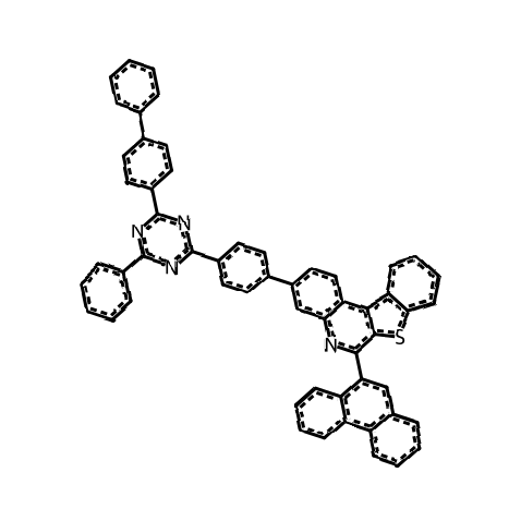 c1ccc(-c2ccc(-c3nc(-c4ccccc4)nc(-c4ccc(-c5ccc6c(c5)nc(-c5cc7ccccc7c7ccccc57)c5sc7ccccc7c56)cc4)n3)cc2)cc1